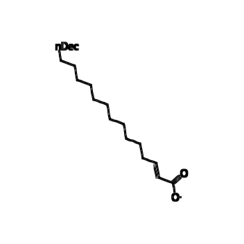 CCCCCCCCCCCCCCCCCCCCC/C=C/C([O])=O